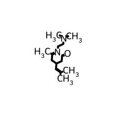 CC(C)=CC(CC=O)CC(C)=NCCN(C)C